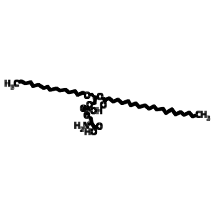 CCCCCCCCCCCCCCCCCCCCCC(=O)O[C@H](COCCCCCCCCCCCCCCCC)COP(=O)(O)OC[C@H](N)C(=O)O